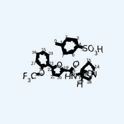 Cc1ccc(S(=O)(=O)O)cc1.O=C(N[C@H]1CN2CCC1CC2)c1ccc(-c2ccccc2OC(F)(F)F)o1